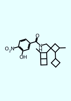 CC1CC(CNC(=O)c2ccc([N+](=O)[O-])c(O)c2)(C2C(C)C3CCC32)C1C1CCC1